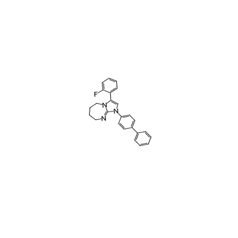 Fc1ccccc1C1=CN(c2ccc(-c3ccccc3)cc2)C2=NCCCCN12